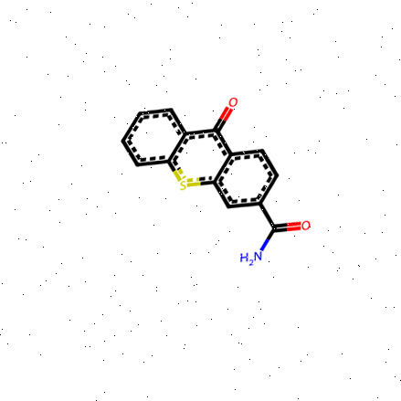 NC(=O)c1ccc2c(=O)c3ccccc3sc2c1